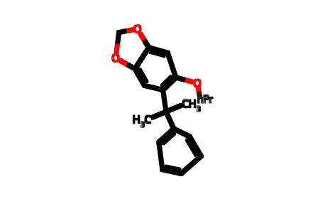 CCCOc1cc2c(cc1C(C)(C)c1ccccc1)OCO2